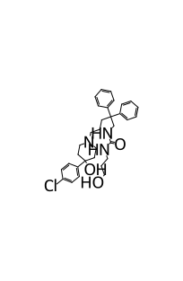 O=C(NCCCO)NCC(CCCN1CCC(O)(c2ccc(Cl)cc2)CC1)(c1ccccc1)c1ccccc1